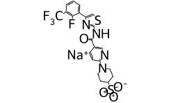 O=C(Nc1nc(-c2cccc(C(F)(F)F)c2F)cs1)c1ccc(N2CCC(S(=O)(=O)[O-])CC2)nc1.[Na+]